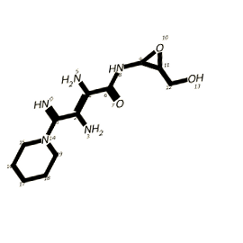 N=C(/C(N)=C(\N)C(=O)NC1OC1CO)N1CCCCC1